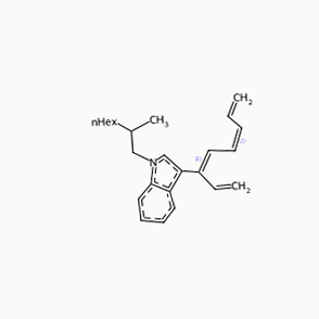 C=C/C=C\C=C(/C=C)c1cn(CC(C)CCCCCC)c2ccccc12